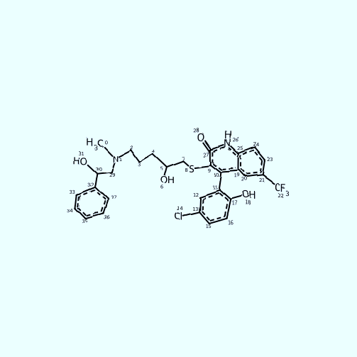 CN(CCCC(O)CSc1c(-c2cc(Cl)ccc2O)c2cc(C(F)(F)F)ccc2[nH]c1=O)CC(O)c1ccccc1